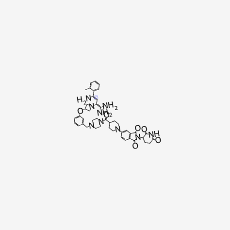 Cc1ccccc1/C(N)=C/C(=C(N)N)N1CC(Oc2cccc(CN3CCN(C(=O)C4CCN(c5ccc6c(c5)C(=O)N(C5CCC(=O)NC5=O)C6=O)CC4)CC3)c2)C1